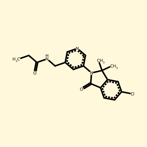 CCC(=O)NCc1cncc(N2C(=O)c3ccc(Cl)cc3C2(C)C)c1